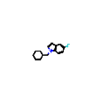 Fc1ccc2c(ccn2CC2CCCCC2)c1